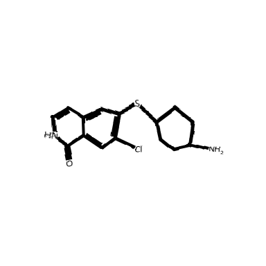 NC1CCC(Sc2cc3cc[nH]c(=O)c3cc2Cl)CC1